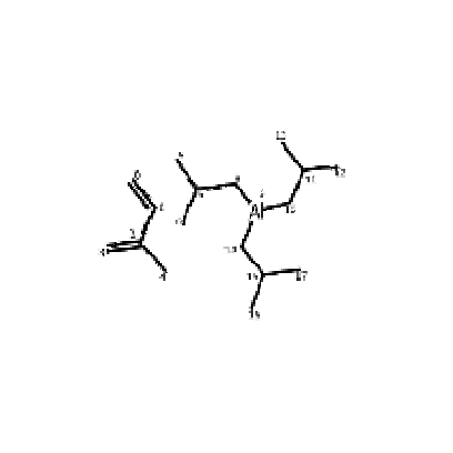 C=CC(=C)C.CC(C)[CH2][Al]([CH2]C(C)C)[CH2]C(C)C